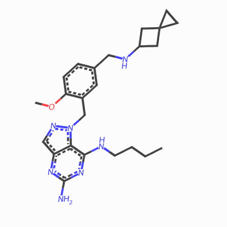 CCCCNc1nc(N)nc2cnn(Cc3cc(CNC4CC5(CC5)C4)ccc3OC)c12